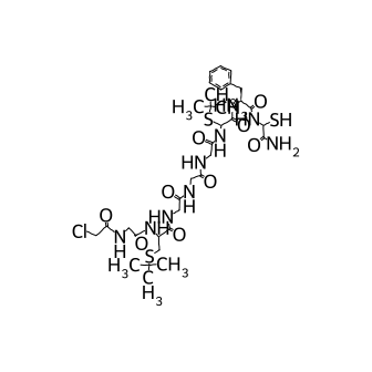 CC(C)(C)SCC(NC(=O)CNC(=O)CCl)C(=O)NCC(=O)NCC(=O)NCC(=O)NC(SC(C)(C)C)C(=O)N[C@@H](Cc1ccccc1)C(=O)NC(S)C(N)=O